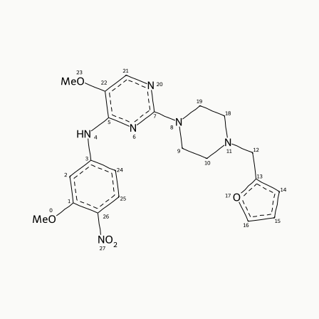 COc1cc(Nc2nc(N3CCN(Cc4ccco4)CC3)ncc2OC)ccc1[N+](=O)[O-]